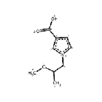 COC(C)Cn1ccc(C(=O)O)c1